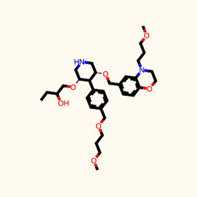 CCC(O)CO[C@@H]1CNC[C@H](OCc2ccc3c(c2)N(CCCOC)CCO3)C1c1ccc(COCCCOC)cc1